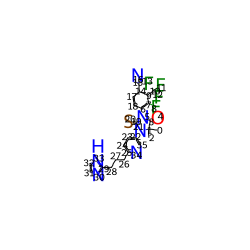 CC1(C)C(=O)N(C2=C(F)C(C(F)(F)F)C(C#N)C=C2)C(=S)N1c1ccc(CCCc2ncc[nH]2)nc1